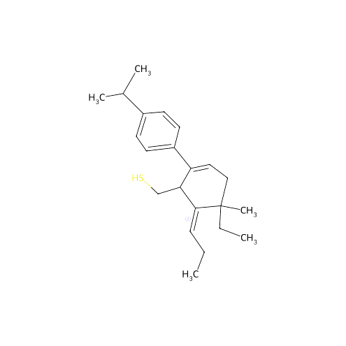 CC/C=C1/C(CS)C(c2ccc(C(C)C)cc2)=CCC1(C)CC